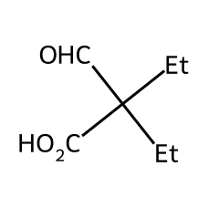 CCC(C=O)(CC)C(=O)O